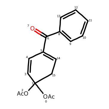 CC(=O)OC1(OC(C)=O)C=CC(C(=O)c2ccccc2)=CC1